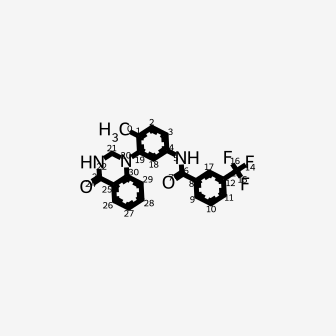 Cc1ccc(NC(=O)c2cccc(C(F)(F)F)c2)cc1N1CNC(=O)c2ccccc21